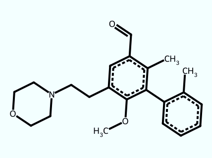 COc1c(CCN2CCOCC2)cc(C=O)c(C)c1-c1ccccc1C